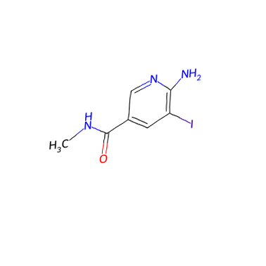 CNC(=O)c1cnc(N)c(I)c1